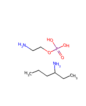 CCCC(N)CC.NCCOP(=O)(O)O